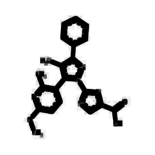 COc1ccc(-c2c(C)c(-c3ccccc3)nn2-c2nc(C(=O)O)cs2)c(C)n1